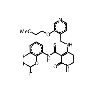 COCCOc1cnccc1CNC1=C(C(=S)Nc2cccc(F)c2OC(F)F)C(=O)NCC1